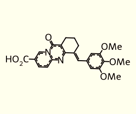 COc1cc(C=C2CCCc3c2nc2ccc(C(=O)O)cn2c3=O)cc(OC)c1OC